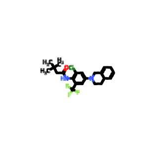 CC(C)(C)CC(=O)Nc1c(Cl)cc(N2CCC3C=CCC=C3C2)cc1C(F)(F)F